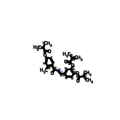 C=C(C)C(=O)Oc1ccc(C(=O)/C=C/c2ccc(OC(=O)C(=C)C)c(OC(=O)C(=C)C)c2)c(C)c1